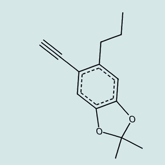 C#Cc1cc2c(cc1CCC)OC(C)(C)O2